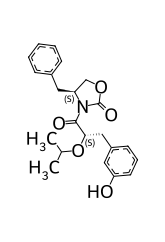 CC(C)O[C@@H](Cc1cccc(O)c1)C(=O)N1C(=O)OC[C@@H]1Cc1ccccc1